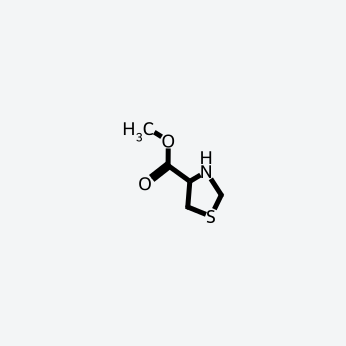 COC(=O)C1CSCN1